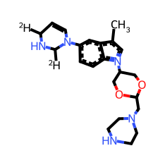 [2H]C1C=CN(c2ccc3c(c2)c(C)cn3C2COC(CN3CCNCC3)OC2)C([2H])N1